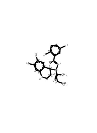 CC(=O)N1N=C(c2cc(F)ccc2F)S[C@]12c1cc(F)c(F)cc1OC[C@H]2CCN